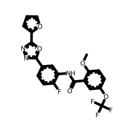 COc1ccc(OC(F)(F)F)cc1C(=O)Nc1cc(-c2nnc(-c3ccco3)o2)ccc1F